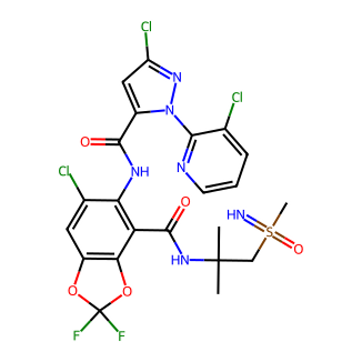 CC(C)(CS(C)(=N)=O)NC(=O)c1c(NC(=O)c2cc(Cl)nn2-c2ncccc2Cl)c(Cl)cc2c1OC(F)(F)O2